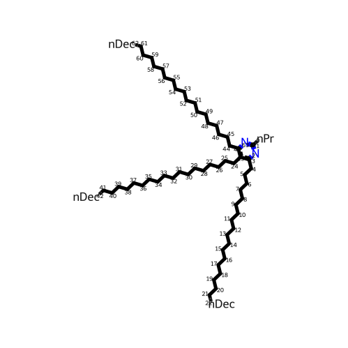 [CH2]CCc1nc(CCCCCCCCCCCCCCCCCCCCCCCCCCCC)c(CCCCCCCCCCCCCCCCCCCCCCCCCCCC)c(CCCCCCCCCCCCCCCCCCCCCCCCCCCC)n1